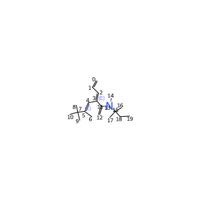 C=C/C=C(\C=C(/C)C(C)(C)C)C(=C)N(C)C(C)(C)CC